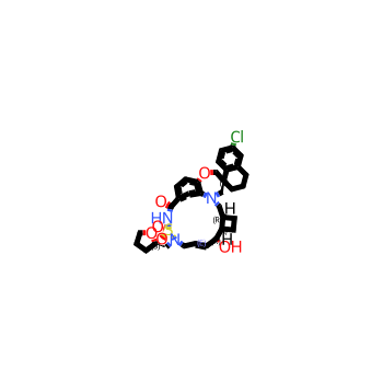 O=C1NS(=O)(=O)N(C[C@@H]2CCCO2)C/C=C/[C@H](O)[C@@H]2CC[C@H]2CN2C[C@@]3(CCCc4cc(Cl)ccc43)COc3ccc1cc32